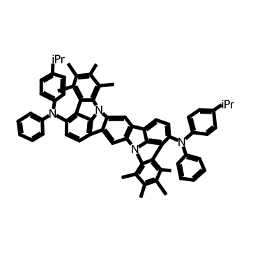 Cc1c(C)c(C)c2c(c1C)c1c(N(c3ccccc3)c3ccc(C(C)C)cc3)ccc3c4cc5c(cc4n2c31)c1ccc(N(c2ccccc2)c2ccc(C(C)C)cc2)c2c3c(C)c(C)c(C)c(C)c3n5c12